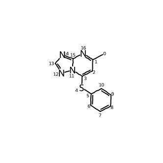 Cc1cc(Sc2ccccc2)n2ncnc2n1